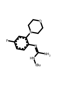 CC(C)(C)NC(N)=Nc1ccc(F)cc1N1CCOCC1